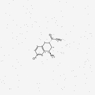 COC(=O)[C@H]1Cc2ccc(Cl)cc2[C@H](N)C1